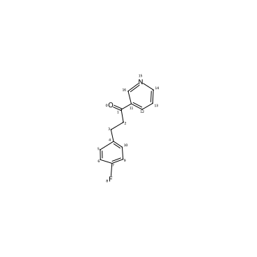 O=C(CCc1ccc(F)cc1)c1cccnc1